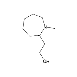 CN1CCCCCC1CCO